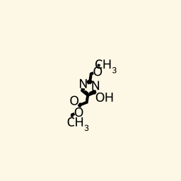 CCOC(=O)Cc1cnc(COC)nc1O